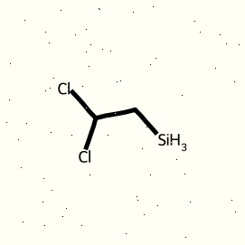 [SiH3]CC(Cl)Cl